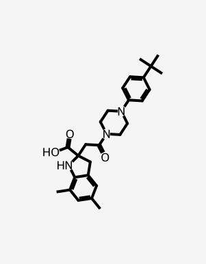 Cc1cc(C)c2c(c1)CC(CC(=O)N1CCN(c3ccc(C(C)(C)C)cc3)CC1)(C(=O)O)N2